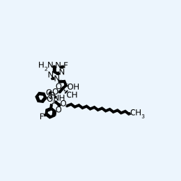 C#C[C@]1(COP(=O)(N[C@@H](Cc2c#ccc(F)c2)C(=O)OCCCCCCCCCCCCCCCCCC)Oc2ccccc2)O[C@@H](n2cnc3c(N)nc(F)nc32)C[C@@H]1O